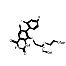 COCCO[C@H](CO)CSc1c(-c2ccc(F)cc2F)c(C)cc2c(=O)[nH]c(=O)[nH]c12